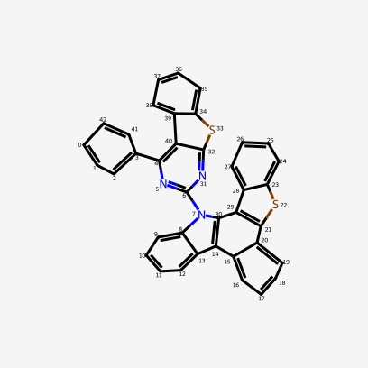 c1ccc(-c2nc(-n3c4ccccc4c4c5ccccc5c5sc6ccccc6c5c43)nc3sc4ccccc4c23)cc1